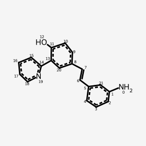 Nc1cccc(C=Cc2ccc(O)c(-c3ccccn3)c2)c1